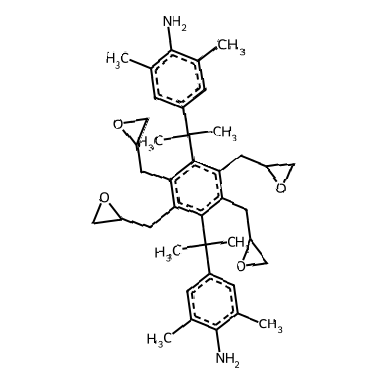 Cc1cc(C(C)(C)c2c(CC3CO3)c(CC3CO3)c(C(C)(C)c3cc(C)c(N)c(C)c3)c(CC3CO3)c2CC2CO2)cc(C)c1N